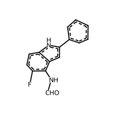 O=CNc1c(F)ccc2[nH]c(-c3ccccc3)cc12